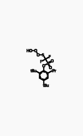 CC(C)c1cc(C(C)(C)C)cc(C(C)(C)C)c1OS(=O)(=O)C(F)(F)SOOO